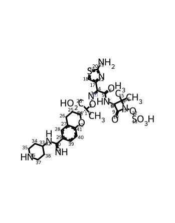 CC(O/N=C(\C(=O)N[C@@H]1C(=O)N(OS(=O)(=O)O)C1(C)C)c1csc(N)n1)(C(=O)O)[C@H]1CCc2cc(C(=N)NC3CCNCC3)ccc2O1